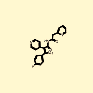 O=C(Cc1ccccn1)Nc1n[nH]c(-c2ccc(F)cc2)c1-c1ccncc1